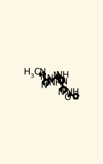 Cc1cn(-c2cncc3[nH]c(-c4n[nH]c5cnc(-c6cncc(NC(=O)C7CCCC7)c6)cc45)nc23)cn1